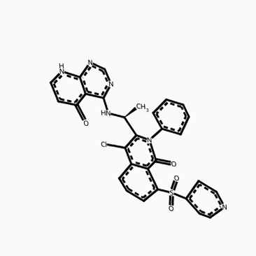 C[C@H](Nc1ncnc2[nH]ccc(=O)c12)c1c(Cl)c2cccc(S(=O)(=O)c3ccncc3)c2c(=O)n1-c1ccccc1